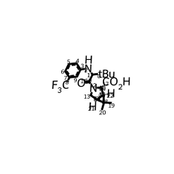 CC(C)(C)C(Nc1cccc(C(F)(F)F)c1)C(=O)N1C[C@H]2[C@@H]([C@H]1C(=O)O)C2(C)C